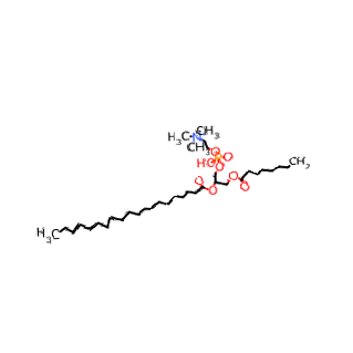 CCCCCCCCCCCCCCCCCCCC(=O)OC(COC(=O)CCCCCCC)COP(=O)(O)OCC[N+](C)(C)C